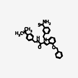 CN(C)c1ccc(CNC(=O)c2cc3c(OCc4ccccc4)cccc3n2Cc2cccc(C(N)=S)c2)cc1